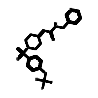 C=S(=O)(c1ccc(OC(F)(F)F)cc1)N1CCC(=CC(=O)NCc2cccnc2)CC1